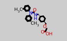 Cc1cccc(N(C(=O)NC[C@H]2CC[C@H](COCC(=O)O)CC2)c2cccc(C)c2)c1